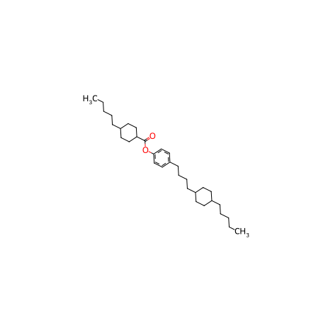 CCCCCC1CCC(CCCCc2ccc(OC(=O)C3CCC(CCCCC)CC3)cc2)CC1